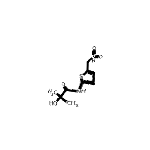 CC(C)(O)C(=O)Nc1ccc(C[SH](=O)=O)s1